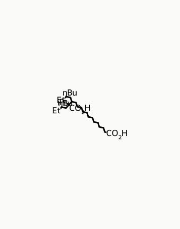 CCCCC(CC)CC(CCCCCCCCCCCCC(=O)O)C(CC(CC)CCCC)(C(=O)O)C(C)C